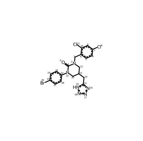 O=C1N(Cc2ccc(Cl)cc2Cl)CC(Cc2nnn[nH]2)CN1c1ccc(Br)cc1